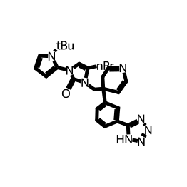 CCCc1cn(-c2cccn2C(C)(C)C)c(=O)n1CC1(c2cccc(-c3nnn[nH]3)c2)C=CN=CC1